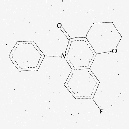 O=c1c2c(c3cc(F)ccc3n1-c1ccccc1)OCCC2